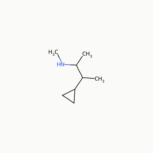 CNC(C)C(C)C1CC1